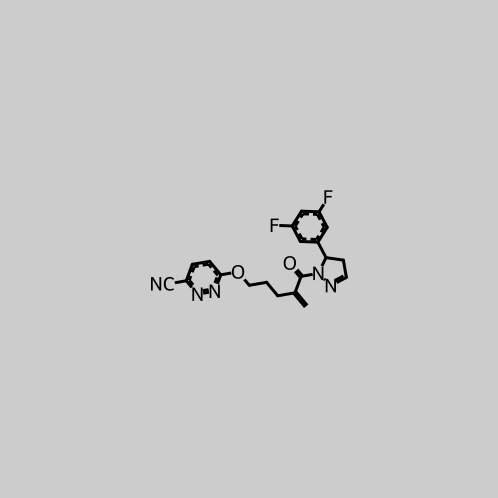 C=C(CCCOc1ccc(C#N)nn1)C(=O)N1N=CCC1c1cc(F)cc(F)c1